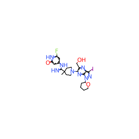 CC1(C(=N)Nc2cc(F)[nH]c(=O)c2)CCN(c2nc3c(nc2CO)c(I)nn3C2CCCCO2)CC1